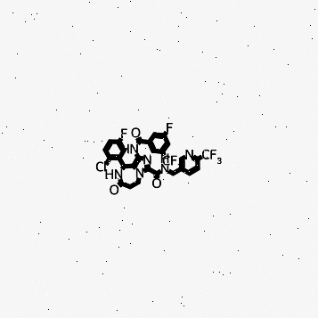 O=C1CCn2c(C(=O)NCc3ccc(C(F)(F)F)nc3)nc(NC(=O)c3cc(F)cc(C(F)(F)F)c3)c2C(c2cc(F)ccc2Cl)N1